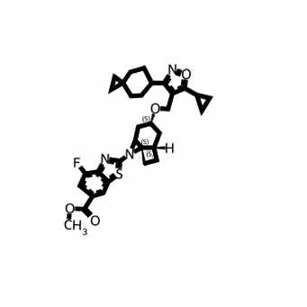 COC(=O)c1cc(F)c2nc(N3C4C[C@@H](OCc5c(C6CCC7(CC6)CC7)noc5C5CC5)C[C@@H]5CC[C@@]453)sc2c1